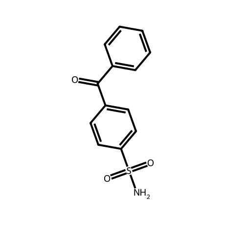 NS(=O)(=O)c1ccc(C(=O)c2ccccc2)cc1